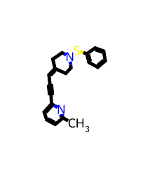 Cc1cccc(C#CC=C2CCN(Sc3ccccc3)CC2)n1